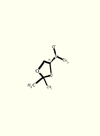 C[S+]([O-])[C@@H]1COC(C)(C)O1